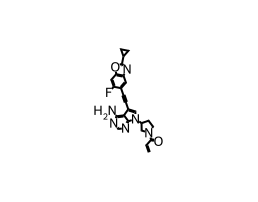 C=CC(=O)N1CCC(n2cc(C#Cc3cc4nc(C5CC5)oc4cc3F)c3c(N)ncnc32)C1